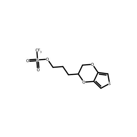 O=S(=O)(OCCCC1COc2cscc2O1)C(F)(F)F